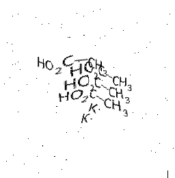 CC(=O)O.CC(=O)O.CC(=O)O.CC(=O)O.[K].[K]